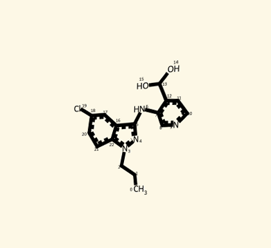 CCCn1nc(Nc2cnccc2C(O)O)c2cc(Cl)ccc21